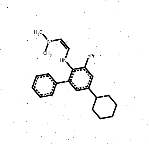 CCCc1cc(C2CCCCC2)cc(-c2ccccc2)c1N/C=C\N(C)C